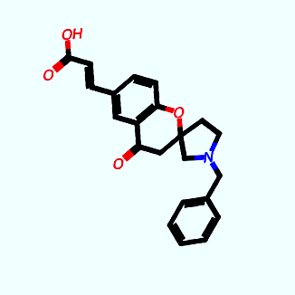 O=C(O)C=Cc1ccc2c(c1)C(=O)CC1(CCN(Cc3ccccc3)C1)O2